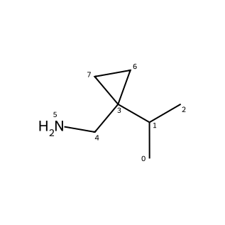 CC(C)C1(CN)CC1